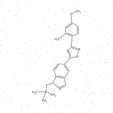 COc1ccc(-c2noc(-c3ccc4c(c3)C=NC4CC(C)(C)C)n2)c(C)c1